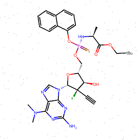 C#C[C@@]1(F)[C@H](O)[C@@H](CO[P@@](=S)(N[C@@H](C)C(=O)OCC(C)(C)C)Oc2cccc3ccccc23)O[C@H]1n1cnc2c(N(C)C)nc(N)nc21